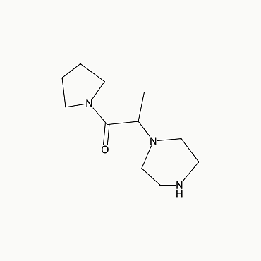 CC(C(=O)N1CCCC1)N1CCNCC1